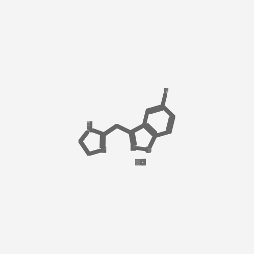 Cl.Fc1ccc2onc(CC3=NCCN3)c2c1